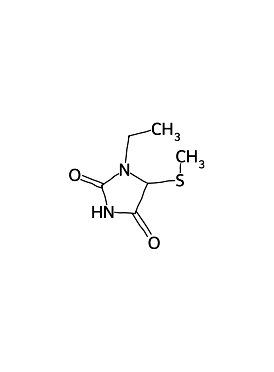 CCN1C(=O)NC(=O)C1SC